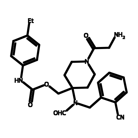 CCc1ccc(NC(=O)OCC2(N(C=O)Cc3ccccc3C#N)CCN(C(=O)CN)CC2)cc1